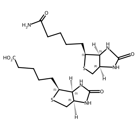 NC(=O)CCCC[C@@H]1SC[C@@H]2NC(=O)N[C@@H]21.O=C(O)CCCC[C@@H]1SC[C@@H]2NC(=O)N[C@@H]21